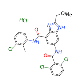 COCc1nc2c(C(=O)Nc3cccc(Cl)c3C)cc(NC(=O)c3c(Cl)cccc3Cl)cc2[nH]1.Cl